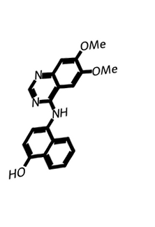 COc1cc2ncnc(Nc3ccc(O)c4ccccc34)c2cc1OC